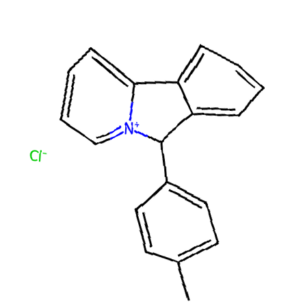 Cc1ccc(C2c3ccccc3-c3cccc[n+]32)cc1.[Cl-]